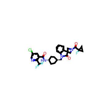 O=C(N[C@H]1CC[C@H](CN2C(=O)C3(CN(C(=O)C4(F)CC4)C3)c3ccccc32)CC1)c1cc(Cl)cnc1C(F)F